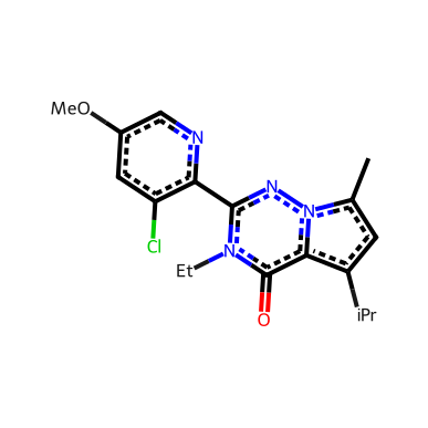 CCn1c(-c2ncc(OC)cc2Cl)nn2c(C)cc(C(C)C)c2c1=O